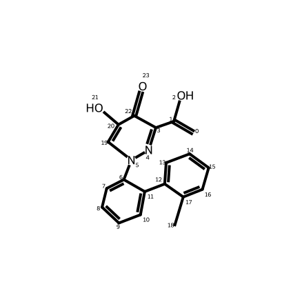 C=C(O)c1nn(-c2ccccc2-c2ccccc2C)cc(O)c1=O